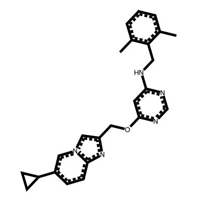 Cc1c[c]cc(C)c1CNc1cc(OCc2cn3cc(C4CC4)ccc3n2)ncn1